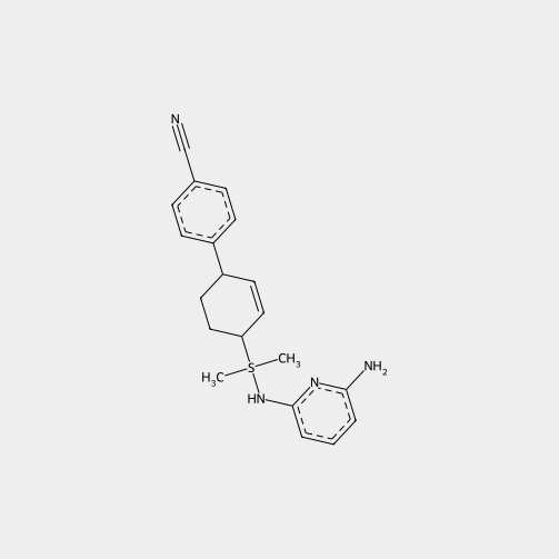 CS(C)(Nc1cccc(N)n1)C1C=CC(c2ccc(C#N)cc2)CC1